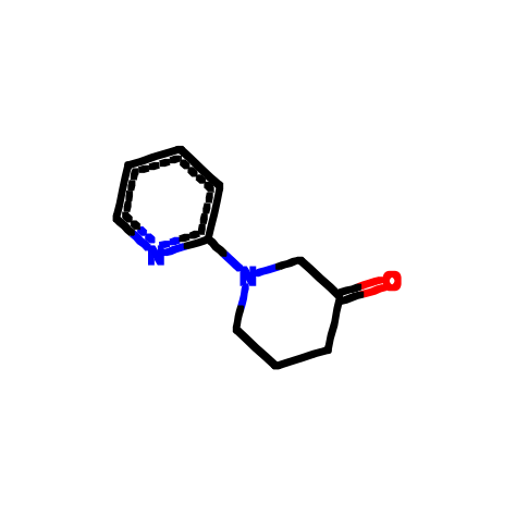 O=C1CCCN(c2ccccn2)C1